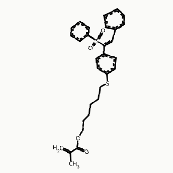 C=C(C)C(=O)OCCCCCCSc1ccc(C(=Cc2ccccc2)S(=O)(=O)c2ccccc2)cc1